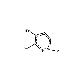 CC(C)c1ccc(Br)nc1C(C)C